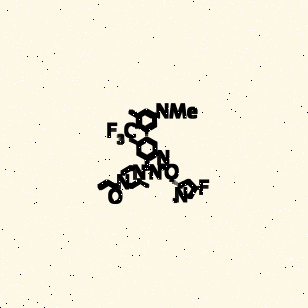 C=CC(=O)N1CCN(c2nc(OC[C@@H]3C[C@@H](F)CN3C)nc3c2C[C@@H](C)[C@H](c2cc(NC)cc(C)c2C(F)(F)F)C3)[C@@H](C)C1